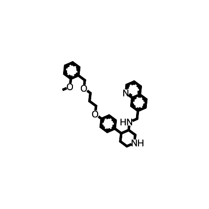 COc1ccccc1COCCCOc1ccc(C2CCNCC2NCc2ccc3cccnc3c2)cc1